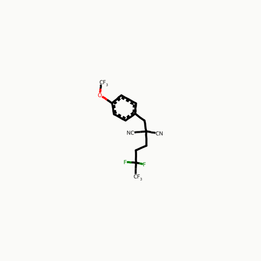 N#CC(C#N)(CCC(F)(F)C(F)(F)F)Cc1ccc(OC(F)(F)F)cc1